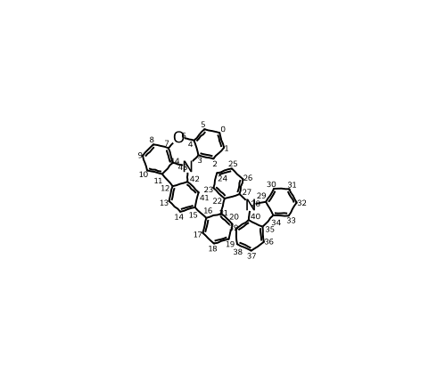 c1ccc2c(c1)Oc1cccc3c4ccc(-c5ccccc5-c5ccccc5-n5c6ccccc6c6ccccc65)cc4n-2c13